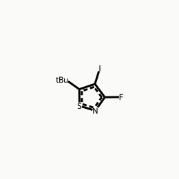 CC(C)(C)c1snc(F)c1I